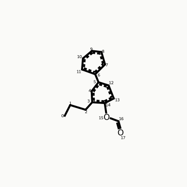 CCCc1cc(-c2ccccc2)ccc1OC=O